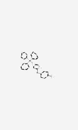 O=C(c1ccc(Br)cc1)c1cn(C(c2ccccc2)(c2ccccc2)c2ccccc2)cn1